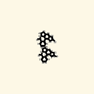 CC1=Cc2c(cc3c(c2-c2ccccc2C(C)C)CCC3)C1.CC1=Cc2cc3c(c(-c4ccccc4C(C)C)c2C1)CCC3